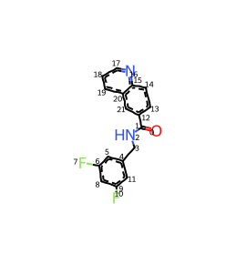 O=C(NCc1cc(F)cc(F)c1)c1ccc2ncccc2c1